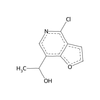 CC(O)c1cnc(Cl)c2ccoc12